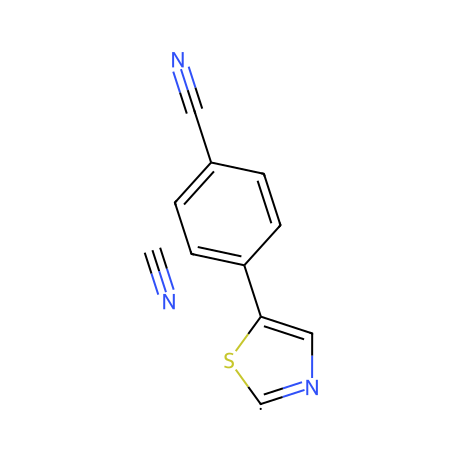 C#N.N#Cc1ccc(-c2cn[c]s2)cc1